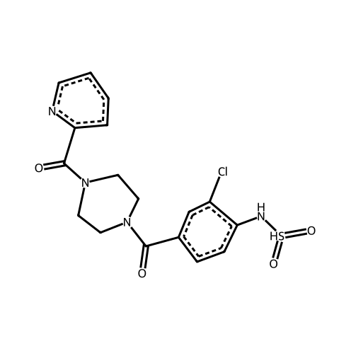 O=C(c1ccc(N[SH](=O)=O)c(Cl)c1)N1CCN(C(=O)c2ccccn2)CC1